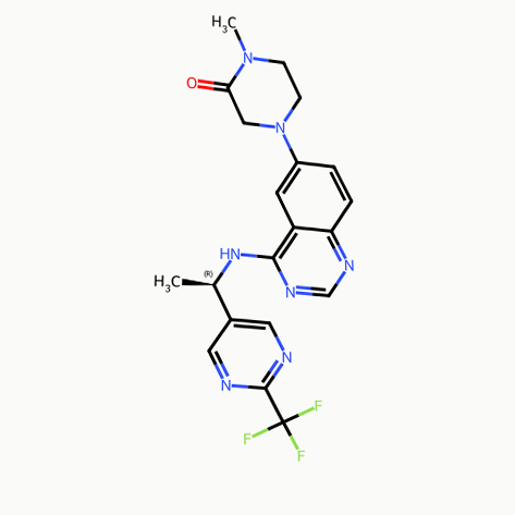 C[C@@H](Nc1ncnc2ccc(N3CCN(C)C(=O)C3)cc12)c1cnc(C(F)(F)F)nc1